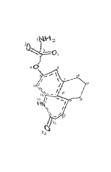 NS(=O)(=O)Oc1cc2c3c(cc(=O)[nH]c3c1)CCC2